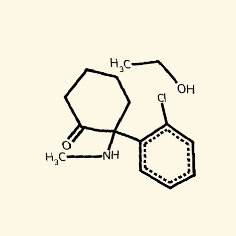 CCO.CNC1(c2ccccc2Cl)CCCCC1=O